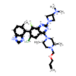 C=CCOCN1C[C@H](C)N(c2nc(N3CC(N(C)C)C3)nc3c(F)c(-c4c(C)ccc5[nH]cnc45)c(Cl)cc23)C[C@H]1C